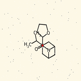 CC(C)N1CC2CC(C1)N2C(=O)C1CCCO1